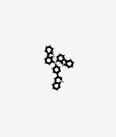 c1ccc2ncc(-c3ccc(N(c4cccc5c4sc4ccccc45)c4cccc5c4sc4ccccc45)cc3)cc2c1